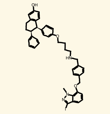 Cn1nc(I)c2cccc(OCc3ccc(CNCCCCOc4ccc([C@@H]5c6ccc(O)cc6CC[C@@H]5c5ccccc5)cc4)cc3)c21